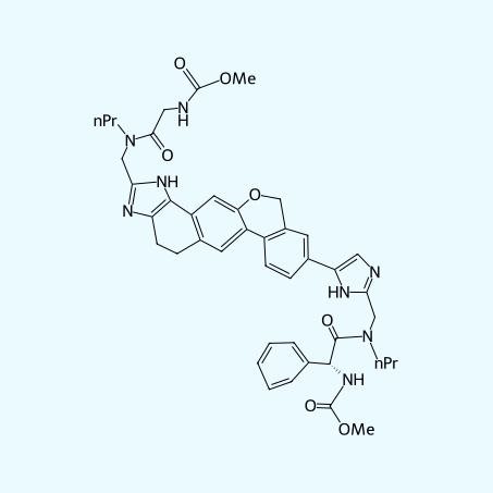 CCCN(Cc1nc2c([nH]1)-c1cc3c(cc1CC2)-c1ccc(-c2cnc(CN(CCC)C(=O)[C@H](NC(=O)OC)c4ccccc4)[nH]2)cc1CO3)C(=O)CNC(=O)OC